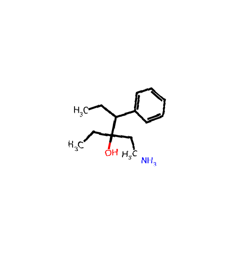 CCC(c1ccccc1)C(O)(CC)CC.N